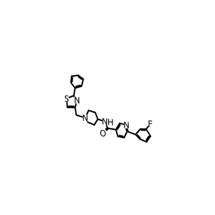 O=C(NC1CCN(Cc2csc(-c3ccccc3)n2)CC1)c1ccc(-c2cccc(F)c2)nc1